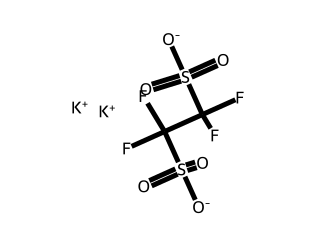 O=S(=O)([O-])C(F)(F)C(F)(F)S(=O)(=O)[O-].[K+].[K+]